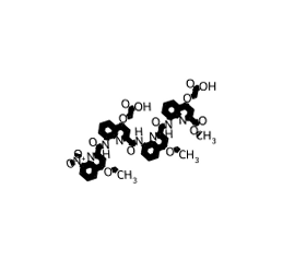 CCOc1cc(C(=O)Nc2cccc3c(OCC(=O)O)cc(C(=O)OC)nc23)nc2c(NC(=O)c3cc(OCC(=O)O)c4cccc(NC(=O)c5cc(OCC)c6cccc([N+](=O)[O-])c6n5)c4n3)cccc12